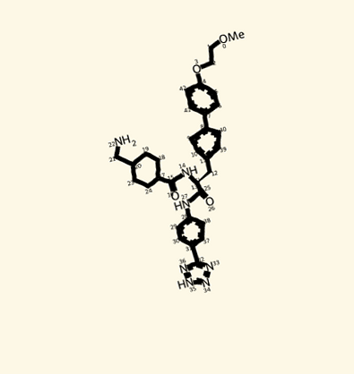 COCCOc1ccc(-c2ccc(C[C@H](NC(=O)C3CCC(CN)CC3)C(=O)Nc3ccc(-c4nn[nH]n4)cc3)cc2)cc1